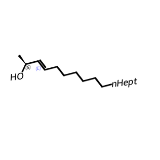 CCCCCCCCCCCCC/C=C/[C@H](C)O